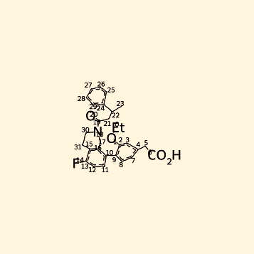 CCOc1cc(CC(=O)O)ccc1-c1ccc(F)c2c1CN(C(=O)CC(C)c1ccccc1)CC2